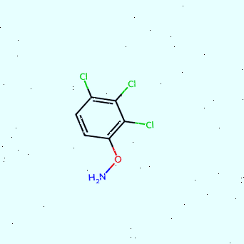 NOc1ccc(Cl)c(Cl)c1Cl